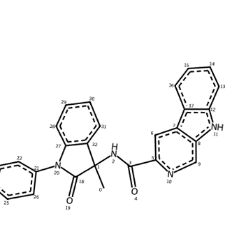 CC1(NC(=O)c2cc3c(cn2)[nH]c2ccccc23)C(=O)N(c2ccccc2)c2ccccc21